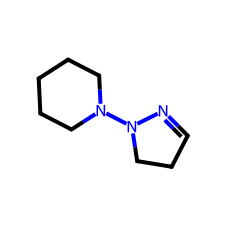 C1=NN(N2CCCCC2)CC1